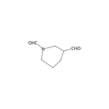 O=[C]C1CCCN([C]=O)C1